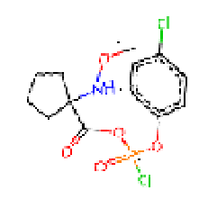 CONC1(C(=O)OP(=O)(Cl)Oc2ccc(Cl)cc2)CCCC1